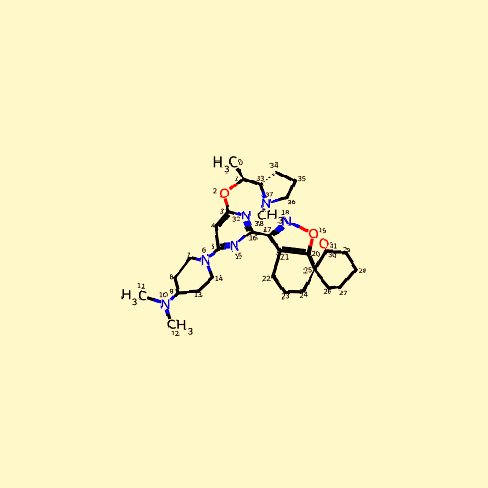 C[C@H](Oc1cc(N2CCC(N(C)C)CC2)nc(-c2noc3c2CCC[C@@]32CCCCC2=O)n1)[C@@H]1CCCN1C